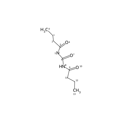 CCCC(=O)[N]C(=O)NC(=O)CCC